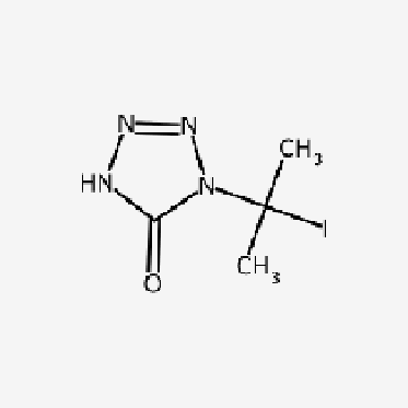 CC(C)(I)n1nn[nH]c1=O